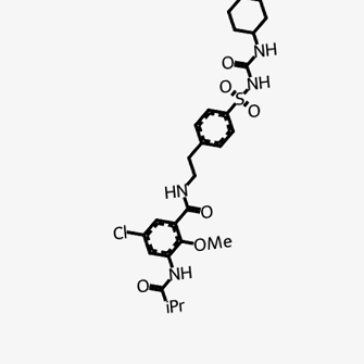 COc1c(NC(=O)C(C)C)cc(Cl)cc1C(=O)NCCc1ccc(S(=O)(=O)NC(=O)NC2CCCCC2)cc1